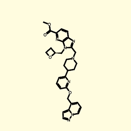 COC(=O)c1ccc2nc(CN3CCC(c4cccc(OCc5cccn6nccc56)n4)CC3)n(C[C@@H]3CCO3)c2n1